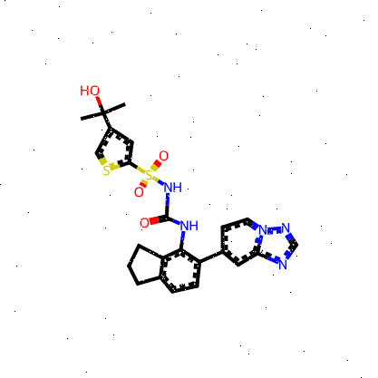 CC(C)(O)c1csc(S(=O)(=O)NC(=O)Nc2c(-c3ccn4ncnc4c3)ccc3c2CCC3)c1